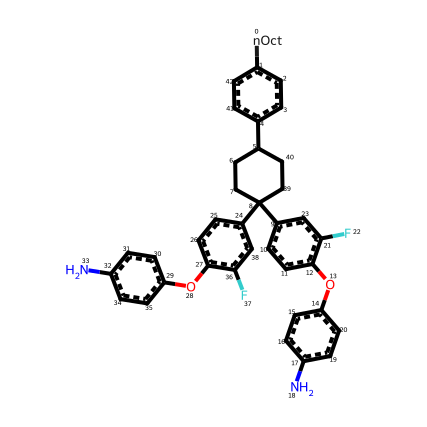 CCCCCCCCc1ccc(C2CCC(c3ccc(Oc4ccc(N)cc4)c(F)c3)(c3ccc(Oc4ccc(N)cc4)c(F)c3)CC2)cc1